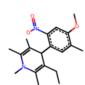 CCC1=C(C)N(C)C(C)=C(C)C1c1cc(C)c(OC)cc1[N+](=O)[O-]